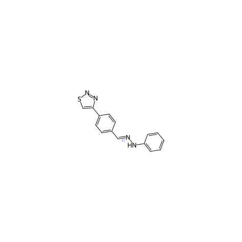 C(=N\Nc1ccccc1)/c1ccc(-c2csnn2)cc1